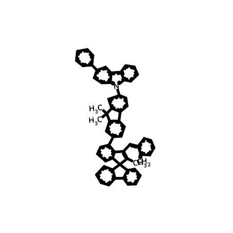 C=c1cccc/c1=C/C1=C(C)C2(c3ccccc3-c3ccccc32)c2cccc(-c3ccc4c(c3)C(C)(C)c3cc(-n5c6ccccc6c6cc(-c7ccccc7)ccc65)ccc3-4)c21